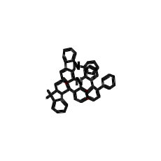 CC1(C)c2ccccc2C2C(c3ccccc3N(c3ccccc3-c3ccccc3-c3ccccc3)c3cccc4c5ccccc5n(-c5ccccc5)c34)=CC=CC21